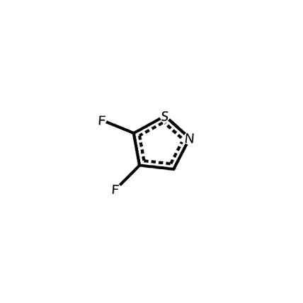 Fc1cnsc1F